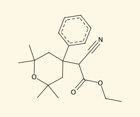 CCOC(=O)C(C#N)C1(c2ccccc2)CC(C)(C)OC(C)(C)C1